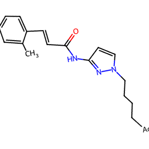 CC(=O)CCCCn1ccc(NC(=O)C=Cc2ccccc2C)n1